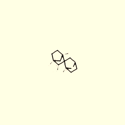 N[C@H]1[C@@H]2CC[C@@H](C2)C12CC1CC[C@H]2O1